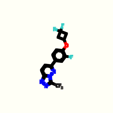 Fc1cc(-c2ccc3nnc(C(F)(F)F)n3n2)ccc1OC1CC(F)(F)C1